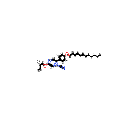 CCCCCCCCCCCCOc1ccc(C2C=NC(OC[C@@H](C)CC)=CN2C#N)cc1